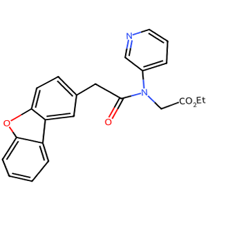 CCOC(=O)CN(C(=O)Cc1ccc2oc3ccccc3c2c1)c1cccnc1